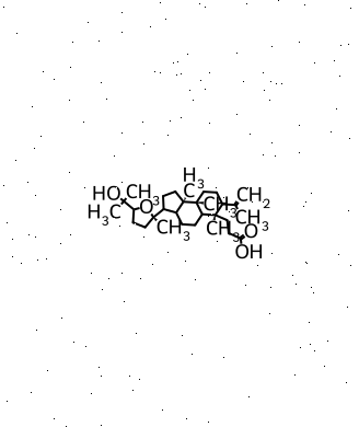 C=C(C)C1CC[C@]2(C)C(CCC3C([C@]4(C)CCC(C(C)(C)O)O4)CC[C@]32C)[C@@]1(C)CCC(=O)O